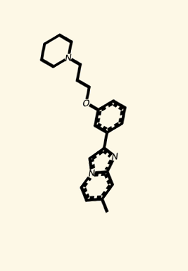 Cc1ccn2cc(-c3cccc(OCCCN4CCCCC4)c3)nc2c1